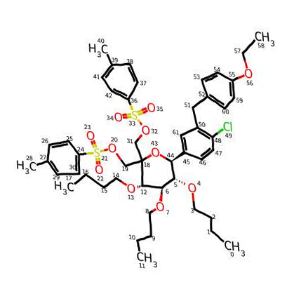 CCCCO[C@@H]1[C@@H](OCCCC)[C@H](OCCCC)C(COS(=O)(=O)c2ccc(C)cc2)(COS(=O)(=O)c2ccc(C)cc2)O[C@H]1c1ccc(Cl)c(Cc2ccc(OCC)cc2)c1